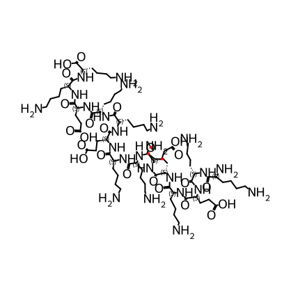 NCCCC[C@H](NC(=O)[C@H](CCCCN)NC(=O)[C@H](CCC(=O)O)NC(=O)[C@H](CCCCN)NC(=O)[C@H](CCCCN)NC(=O)[C@H](CCC(=O)O)NC(=O)[C@H](CCCCN)NC(=O)[C@H](CCCCN)NC(=O)[C@H](CCC(=O)O)NC(=O)[C@H](CCCCN)NC(=O)[C@H](CCCCN)NC(=O)[C@H](CCC(=O)O)NC(=O)[C@H](CCCCN)NC(=O)[C@@H](N)CCCCN)C(=O)O